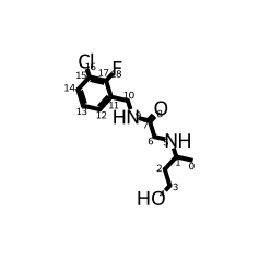 CC(CCO)NCC(=O)NCc1cccc(Cl)c1F